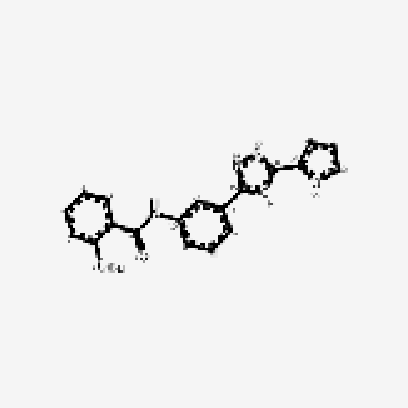 CC(C)COc1ccccc1C(=O)Nc1cccc(-c2nnc(-c3ccco3)o2)c1